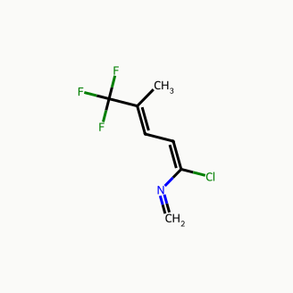 C=N/C(Cl)=C\C=C(/C)C(F)(F)F